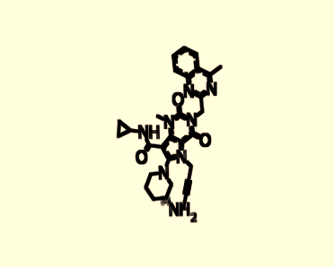 CC#CCn1c(N2CCC[C@@H](N)C2)c(C(=O)NC2CC2)c2c1c(=O)n(Cc1nc(C)c3ccccc3n1)c(=O)n2C